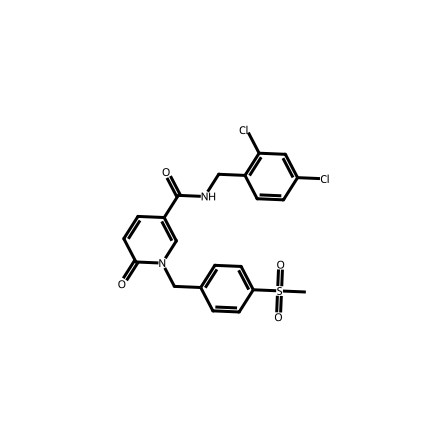 CS(=O)(=O)c1ccc(Cn2cc(C(=O)NCc3ccc(Cl)cc3Cl)ccc2=O)cc1